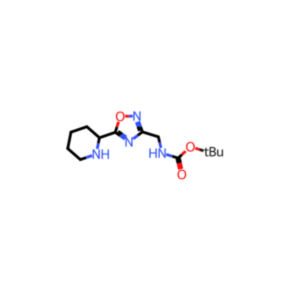 CC(C)(C)OC(=O)NCc1noc(C2CCCCN2)n1